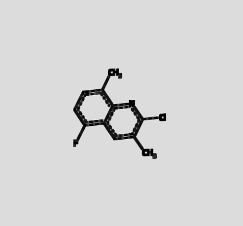 Cc1cc2c(F)ccc(C)c2nc1Cl